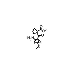 COC(=O)[C@@H]1CCCN1C(=O)c1sc(SC)nc1N